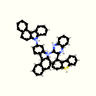 c1ccc2c(c1)ccc1c2c2ccccc2n1-c1ccc2c3c4ccccc4ccc3n(-c3nc4ccccc4nc3-c3cccc4sc5ccccc5c34)c2c1